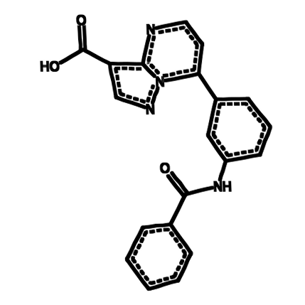 O=C(Nc1cccc(-c2ccnc3c(C(=O)O)cnn23)c1)c1ccccc1